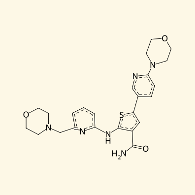 NC(=O)c1cc(-c2ccc(N3CCOCC3)nc2)sc1Nc1cccc(CN2CCOCC2)n1